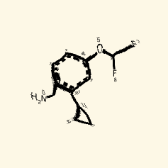 Nc1ccc(OC(F)F)cc1C1CC1